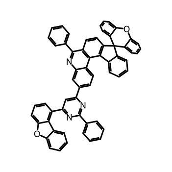 c1ccc(-c2nc(-c3ccc4c(c3)nc(-c3ccccc3)c3ccc5c(c34)-c3ccccc3C53c4ccccc4Oc4ccccc43)cc(-c3cccc4oc5ccccc5c34)n2)cc1